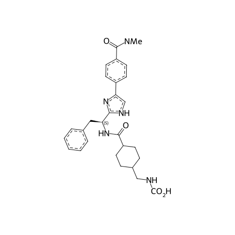 CNC(=O)c1ccc(-c2c[nH]c([C@H](Cc3ccccc3)NC(=O)C3CCC(CNC(=O)O)CC3)n2)cc1